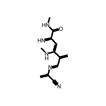 C=C(C#N)/N=C/C(=C)/C(=C/C(=N)C(=O)NC)NC